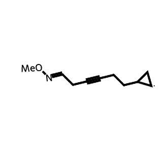 CON=CCC#CCCC1[CH]C1